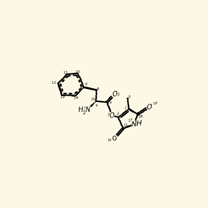 CC1=C(OC(=O)[C@@H](N)Cc2ccccc2)C(=O)NC1=O